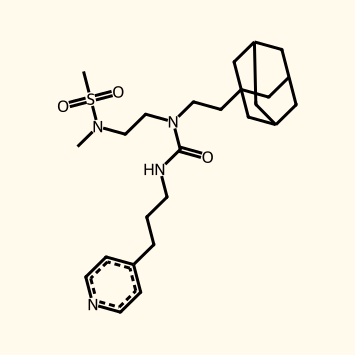 CN(CCN(CCC12CC3CC(CC(C3)C1)C2)C(=O)NCCCc1ccncc1)S(C)(=O)=O